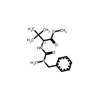 COC(=O)[C@@H](NC(=O)N(C)Cc1ccccc1)C(C)(C)C